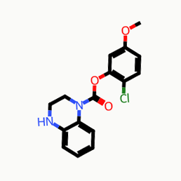 COc1ccc(Cl)c(OC(=O)N2CCNc3ccccc32)c1